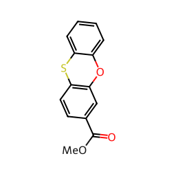 COC(=O)c1ccc2c(c1)Oc1ccccc1S2